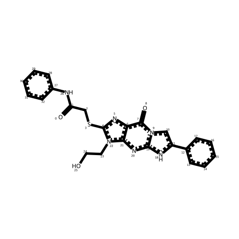 O=C(CSc1nc2c(=O)n3cc(-c4ccccc4)[nH]c3nc2n1CCO)Nc1ccccc1